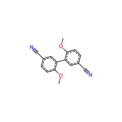 COc1ccc(C#N)cc1-c1cc(C#N)ccc1OC